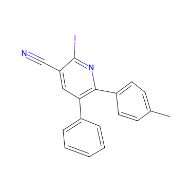 Cc1ccc(-c2nc(I)c(C#N)cc2-c2ccccc2)cc1